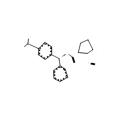 CC(C)c1ccc([C@@H](NC(=O)[C@@H]2CCC[C@@H]2N=O)c2ccccc2)cc1